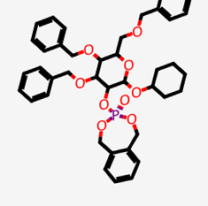 O=P1(OC2C(OC3CCCCC3)OC(COCc3ccccc3)C(OCc3ccccc3)C2OCc2ccccc2)OCc2ccccc2CO1